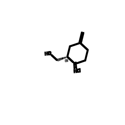 C=C1CCN[C@H](CO)C1.Cl